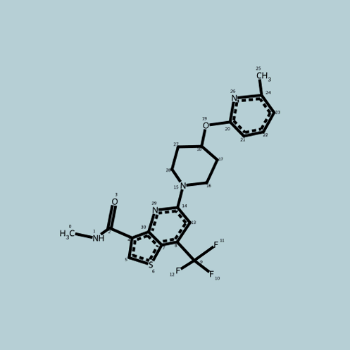 CNC(=O)c1csc2c(C(F)(F)F)cc(N3CCC(Oc4cccc(C)n4)CC3)nc12